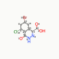 O=C(O)c1n[nH]c(=O)c2c(Cl)cc(Br)cc12